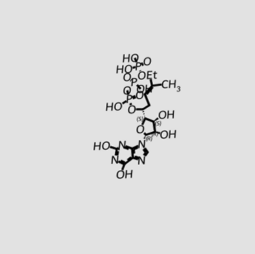 CCC(C)=CCC(OP(=O)(O)OP(=O)(O)OP(=O)(O)O)[C@H]1O[C@@H](n2cnc3c(O)nc(O)nc32)[C@H](O)[C@@H]1O